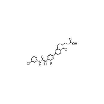 O=C(O)CCC1CCc2cc(-c3ccc(NC(=O)Nc4cccc(Cl)c4)c(F)c3)ccc2C1=O